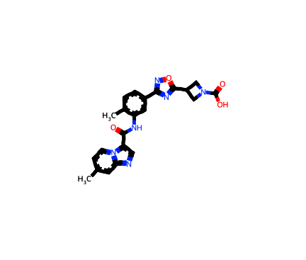 Cc1ccn2c(C(=O)Nc3cc(-c4noc(C5CN(C(=O)O)C5)n4)ccc3C)cnc2c1